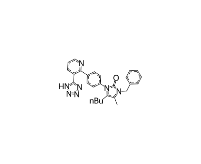 CCCCc1c(C)n(Cc2ccccc2)c(=O)n1-c1ccc(-c2ncccc2-c2nnn[nH]2)cc1